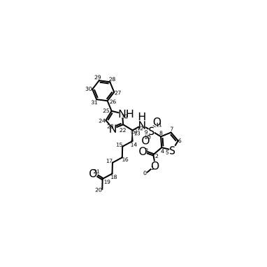 COC(=O)c1sccc1S(=O)(=O)N[C@@H](CCCCCC(C)=O)c1ncc(-c2ccccc2)[nH]1